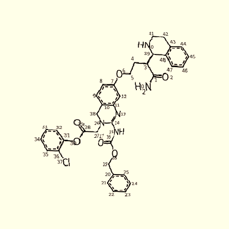 NC(=O)C(CCOc1ccc2c(c1)N=C(NC(=O)OCc1ccccc1)N(CC(=O)Oc1ccccc1Cl)C2)C1NCCc2ccccc21